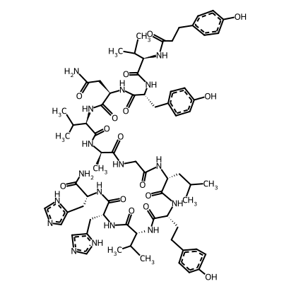 CC(C)C[C@@H](NC(=O)CNC(=O)[C@@H](C)NC(=O)[C@H](NC(=O)[C@@H](CC(N)=O)NC(=O)[C@@H](Cc1ccc(O)cc1)NC(=O)[C@H](NC(=O)CCc1ccc(O)cc1)C(C)C)C(C)C)C(=O)N[C@H](CCc1ccc(O)cc1)C(=O)N[C@@H](C(=O)N[C@H](Cc1cnc[nH]1)C(=O)N[C@H](Cc1cnc[nH]1)C(N)=O)C(C)C